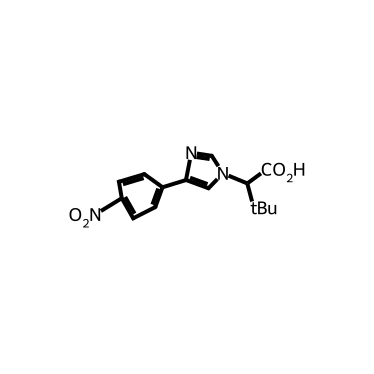 CC(C)(C)C(C(=O)O)n1cnc(-c2ccc([N+](=O)[O-])cc2)c1